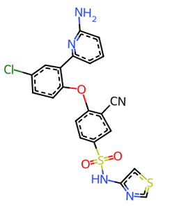 N#Cc1cc(S(=O)(=O)Nc2cscn2)ccc1Oc1ccc(Cl)cc1-c1cccc(N)n1